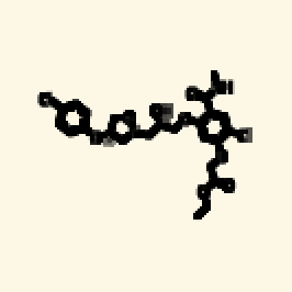 CCOC(=O)COc1cc(OC[C@H](O)CN2C[C@@H](Oc3ccc(Cl)cc3)CO2)c(C(=O)NC)cc1Cl